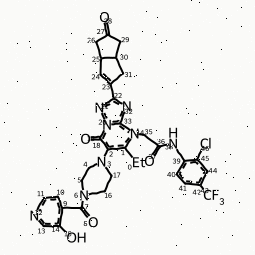 CCc1c(N2CCN(C(=O)c3ccncc3O)CC2)c(=O)n2nc(C3=CC4CC(=O)CC4C3)nc2n1CC(=O)Nc1ccc(C(F)(F)F)cc1Cl